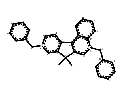 CC1(C)c2c[n+](Cc3ccccc3)ccc2-c2c1c[n+](Cc1ccccc1)c1ccccc21